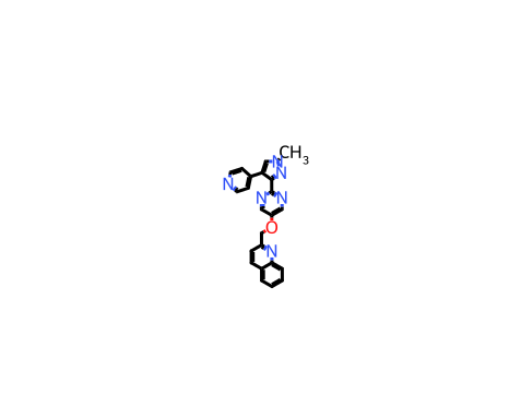 Cn1cc(-c2ccncc2)c(-c2ncc(OCc3ccc4ccccc4n3)cn2)n1